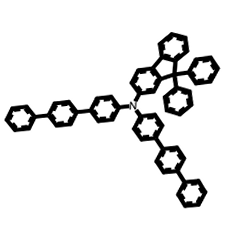 c1ccc(-c2ccc(-c3ccc(N(c4ccc(-c5ccc(-c6ccccc6)cc5)cc4)c4ccc5c(c4)C(c4ccccc4)(c4ccccc4)c4ccccc4-5)cc3)cc2)cc1